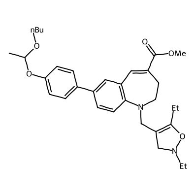 CCCCOC(C)Oc1ccc(-c2ccc3c(c2)C=C(C(=O)OC)CCN3CC2=C(CC)ON(CC)C2)cc1